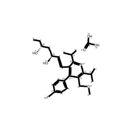 CC[C@@H](O)C[C@H](O)C=Cc1c(C(C)C)nc(C(C)C)c(COC)c1-c1ccc(F)cc1.O=C(O)O